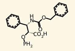 O=C(N[C@@H](c1ccccc1)[C@@H](OP)C(=O)O)OCc1ccccc1